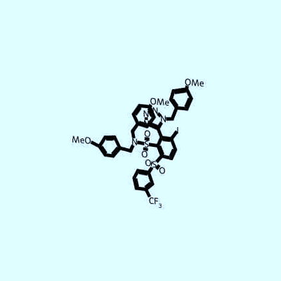 COc1ccc(CN(Cc2ccc(OC)cc2)S(=O)(=O)c2c(S(=O)(=O)c3cccc(C(F)(F)F)c3)ccc(I)c2-c2nnnn2Cc2ccc(OC)cc2)cc1